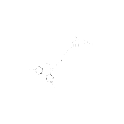 C[Si](C)(C)O[Si](C)(C)CCCCCCCCN1c2cc(Br)sc2-c2sc(Br)cc2S1(=O)=O